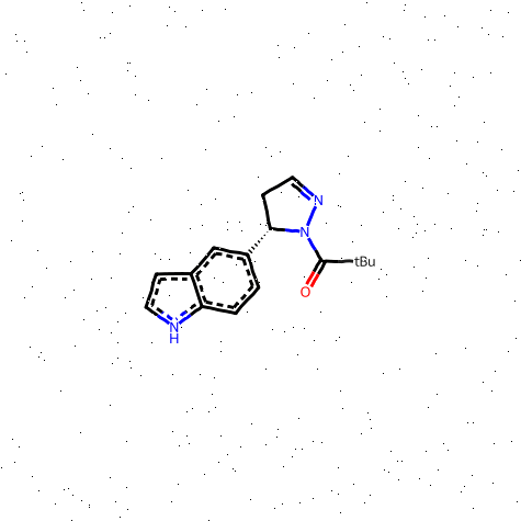 CC(C)(C)C(=O)N1N=CC[C@H]1c1ccc2[nH]ccc2c1